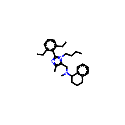 CCCCn1c(-c2c(CC)cccc2CC)nc(C)c1CN(C)C1CCCc2ccccc21